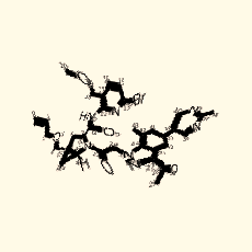 C=CCOC[C@@]12C[C@@H](C(=O)Nc3nc(Br)ccc3COC)N(C(=O)Cn3nc(C(C)=O)c4cc(-c5cnc(C)nc5)cc(C)c43)[C@@H]1C2